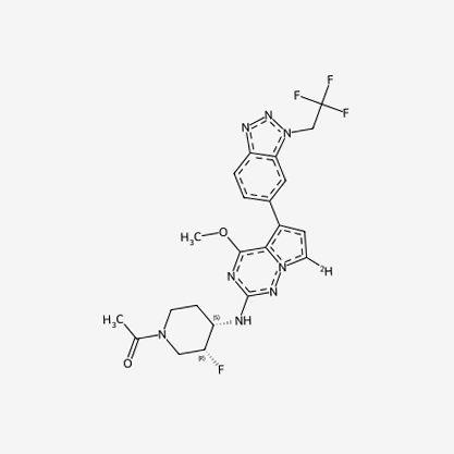 [2H]c1cc(-c2ccc3nnn(CC(F)(F)F)c3c2)c2c(OC)nc(N[C@H]3CCN(C(C)=O)C[C@H]3F)nn12